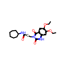 CCOc1cc2[nH]c(=O)n(CCC(=O)NC3CCCCCC3)c(=O)c2cc1OCC